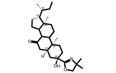 CC[C@@H](C)[C@H]1CCC2C3C(=O)C[C@@H]4C[C@@](O)(C5=NC(C)(C)CO5)CC[C@]4(C)C3CC[C@@]21C